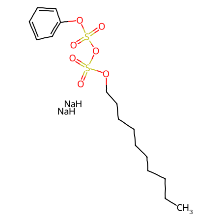 CCCCCCCCCCOS(=O)(=O)OS(=O)(=O)Oc1ccccc1.[NaH].[NaH]